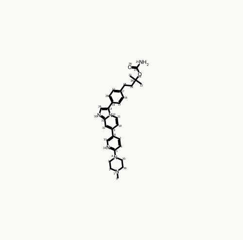 CN1CCN(c2ccc(-c3ccn4c(-c5ccc(CCC(C)(C)OC(N)=O)cc5)cnc4c3)cn2)CC1